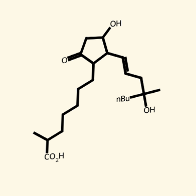 CCCCC(C)(O)CC=CC1C(O)CC(=O)C1CCCCCC(C)C(=O)O